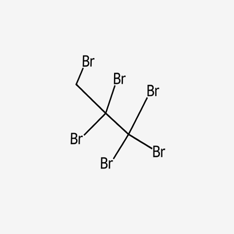 BrCC(Br)(Br)C(Br)(Br)Br